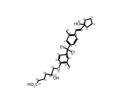 CCC(CC)(c1ccc(C=CC2(O)CCCC2)c(C)c1)c1ccc(OC[C@H](O)CCCC(=O)O)c(C)c1